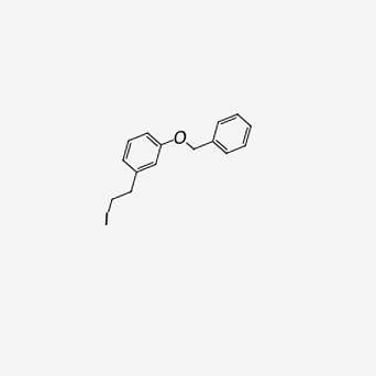 ICCc1cccc(OCc2ccccc2)c1